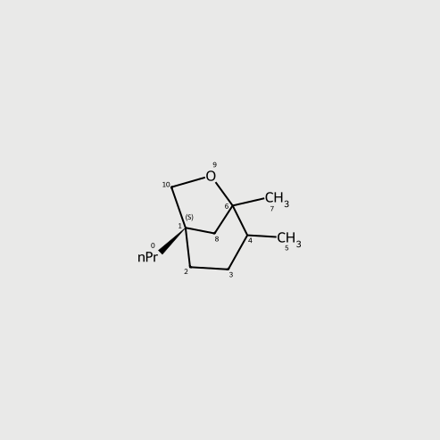 CCC[C@]12CCC(C)C(C)(C1)OC2